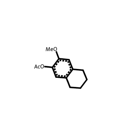 COc1cc2c(cc1OC(C)=O)CCCC2